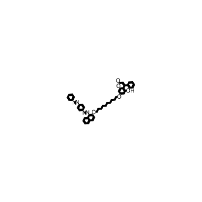 O=c1cc(-c2ccccc2)c2c(O)cc(OCCCCCCCCCCOc3ccc4ccccc4c3/N=N/c3ccc(/N=N/c4ccccc4)cc3)cc2o1